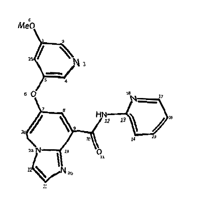 COc1cncc(Oc2cc(C(=O)Nc3ccccn3)c3nccn3c2)c1